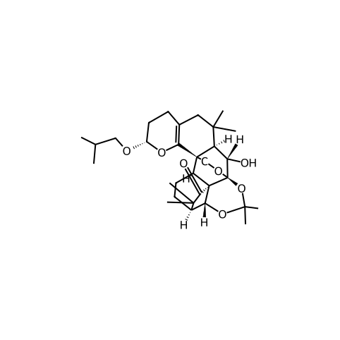 CC(C)CO[C@@H]1CCC2=C(O1)[C@@]13CO[C@]4(OC(C)(C)O[C@@H]5[C@H]6CC[C@@H]1[C@]54C(=O)C6(C)C)[C@@H](O)[C@@H]3C(C)(C)C2